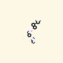 COc1cc2c(cc1N1CCN3CCC[C@H]3C1)N(C(=O)Nc1cccc3c(-c4ccc(C)nc4C)cccc13)CC2